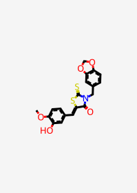 COc1ccc(/C=C2\SC(=S)N(Cc3ccc4c(c3)OCO4)C2=O)cc1O